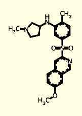 COc1ccc2cc(S(=O)(=O)c3ccc(C)c(NC4CCN(C)C4)c3)ncc2c1